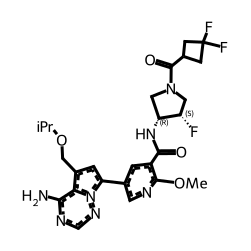 COc1ncc(-c2cc(COC(C)C)c3c(N)ncnn23)cc1C(=O)N[C@@H]1CN(C(=O)C2CC(F)(F)C2)C[C@@H]1F